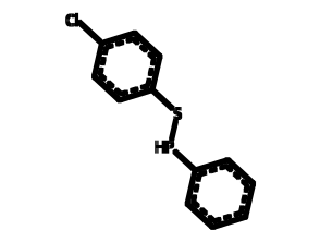 Clc1ccc(SPc2ccccc2)cc1